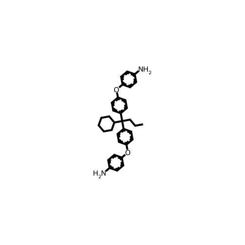 CCCC(c1ccc(Oc2ccc(N)cc2)cc1)(c1ccc(Oc2ccc(N)cc2)cc1)C1CCCCC1